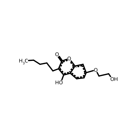 CCCCCc1c(O)c2ccc(OCCO)cc2oc1=O